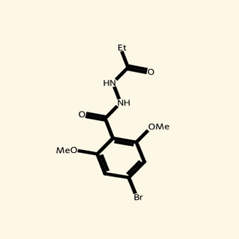 CCC(=O)NNC(=O)c1c(OC)cc(Br)cc1OC